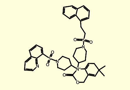 CC1(C)C=C2COC(=O)[N+](C3CCN(S(=O)(=O)CCc4cccc5ccccc45)CC3)(C3CCN(S(=O)(=O)c4cccc5cccnc45)CC3)C2=CC1